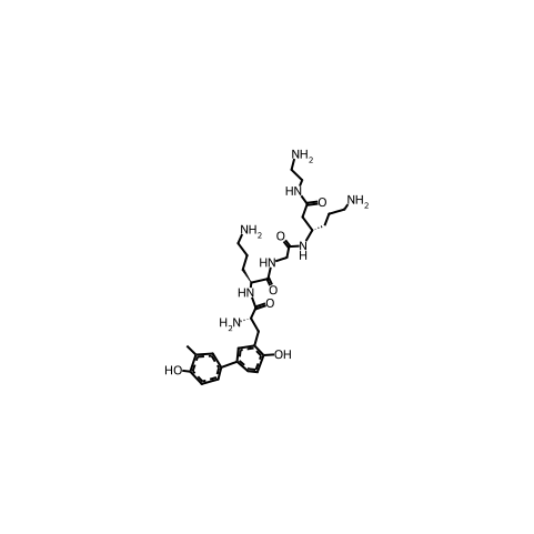 Cc1cc(-c2ccc(O)c(C[C@H](N)C(=O)N[C@@H](CCCN)C(=O)NCC(=O)N[C@@H](CCCN)CC(=O)NCCN)c2)ccc1O